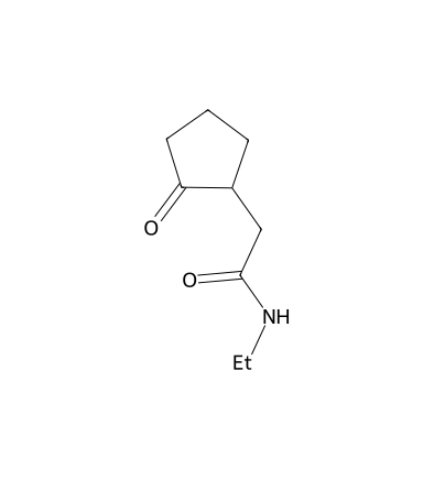 CCNC(=O)CC1CCCC1=O